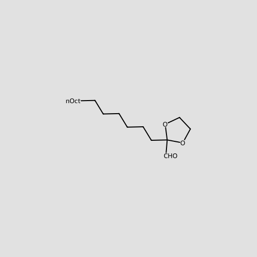 CCCCCCCCCCCCCCC1(C=O)OCCO1